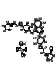 O=C(O)C(=O)O.O=C1CCCN1CCOc1ccc(-c2sc3ccccc3c2Cc2ccc(OCCN3CCCC3)cc2)cc1